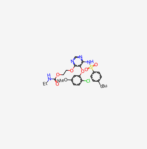 CCNC(=O)OCCOc1ncnc(NS(=O)(=O)c2ccc(C(C)(C)C)cc2)c1Oc1cc(OC)ccc1Cl